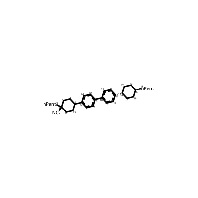 CCCCCC1(C#N)CCC(c2ccc(-c3ccc([C@H]4CC[C@H](CCCCC)CC4)cc3)cc2)CC1